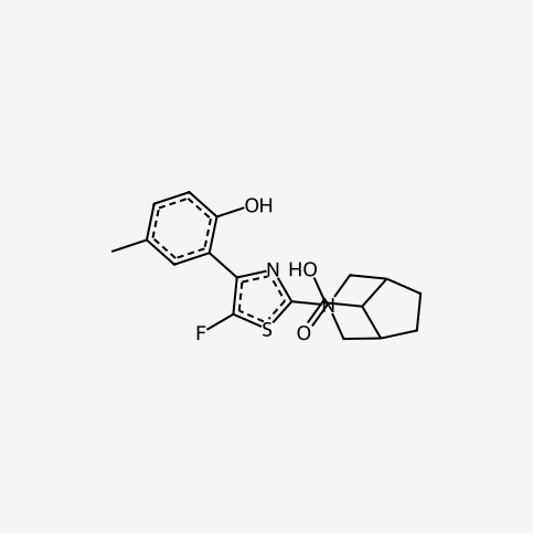 Cc1ccc(O)c(-c2nc(N3CC4CCC(C3)C4C(=O)O)sc2F)c1